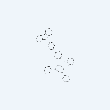 c1ccc(-c2cc(-c3ccccc3)c3c4c2Oc2ccccc2B4c2ccc(-c4ccc(-n5c6ccccc6c6ccccc65)cc4)cc2O3)cc1